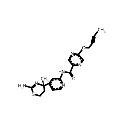 CC#CCOc1cnc(C(=O)Nc2cc([C@]3(C)CCSC(N)=N3)ccn2)cn1